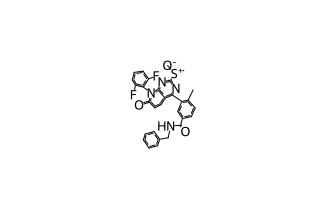 Cc1ccc(C(=O)NCc2ccccc2)cc1-c1nc([S+](C)[O-])nc2c1ccc(=O)n2-c1c(F)cccc1F